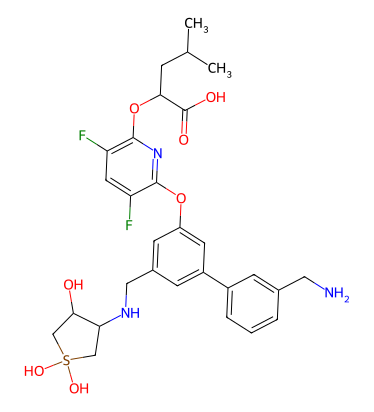 CC(C)CC(Oc1nc(Oc2cc(CNC3CS(O)(O)CC3O)cc(-c3cccc(CN)c3)c2)c(F)cc1F)C(=O)O